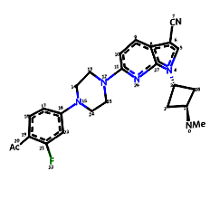 CN[C@H]1C[C@H](n2cc(C#N)c3ccc(N4CCN(c5ccc(C(C)=O)c(F)c5)CC4)nc32)C1